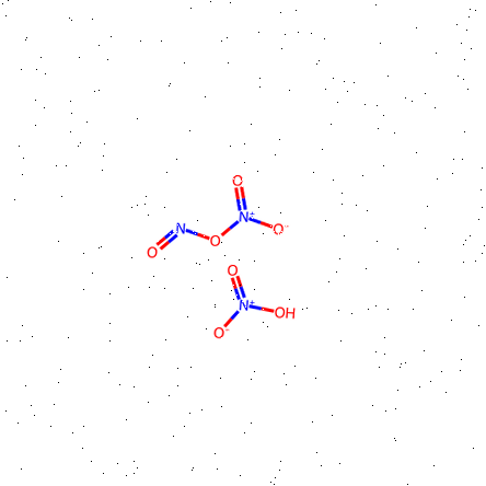 O=NO[N+](=O)[O-].O=[N+]([O-])O